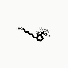 CC(C)(C)c1cccc(CCCCCCO)c1O